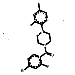 Cc1cnc(N2CCN(C(=O)c3ccc(Br)cc3F)CC2)c(F)c1